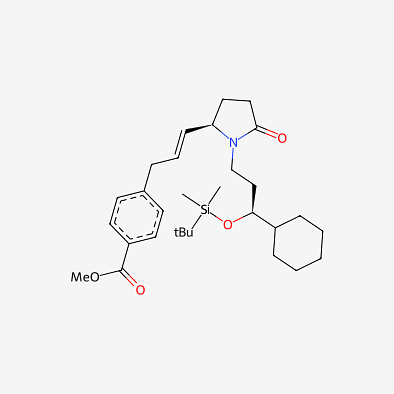 COC(=O)c1ccc(CC=C[C@H]2CCC(=O)N2CC[C@H](O[Si](C)(C)C(C)(C)C)C2CCCCC2)cc1